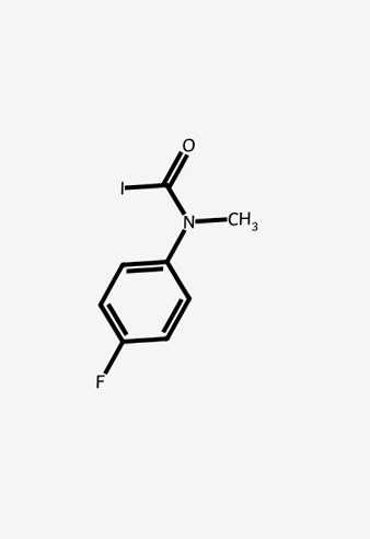 CN(C(=O)I)c1ccc(F)cc1